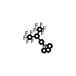 Fc1c(F)c(F)c(-c2cc(-c3ccc(-n4c5cccc6ccc7cccc4c7c65)cc3)cc(-c3c(F)c(F)c(F)c(F)c3F)c2)c(F)c1F